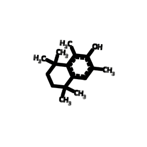 Cc1cc2c(c(C)c1O)C(C)(C)CCC2(C)C